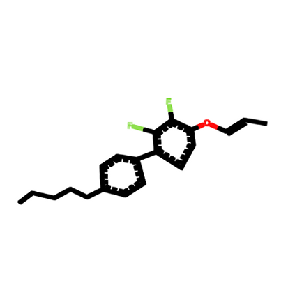 C/C=C/Oc1ccc(-c2ccc(CCCCC)cc2)c(F)c1F